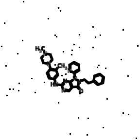 Cc1cc(Nc2ncc3c(=O)n(CCc4ccccc4)n(-c4ccccn4)c3n2)ccc1N1CCN(C)CC1